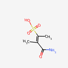 CC(C(N)=O)=C(C)S(=O)(=O)O